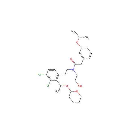 CC(C)Oc1cccc(CC(=O)N(CCO)CCc2ccc(Cl)c(Cl)c2C(C)OC2CCCCO2)c1